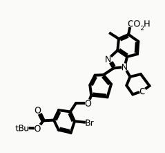 Cc1c(C(=O)O)ccc2c1nc(-c1ccc(OCc3cc(C(=O)OC(C)(C)C)ccc3Br)cc1)n2C1CCCCC1